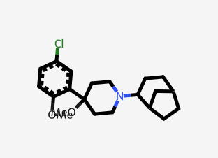 COc1ccc(Cl)cc1C1(OC)CCN(C2CCC3CCC2C3)CC1